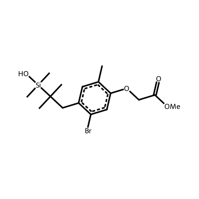 COC(=O)COc1cc(Br)c(CC(C)(C)[Si](C)(C)O)cc1C